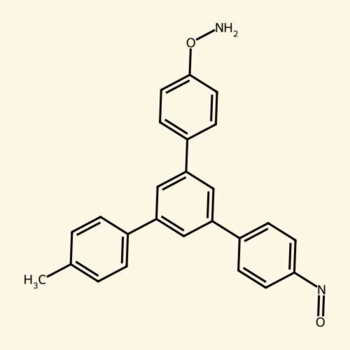 Cc1ccc(-c2cc(-c3ccc(N=O)cc3)cc(-c3ccc(ON)cc3)c2)cc1